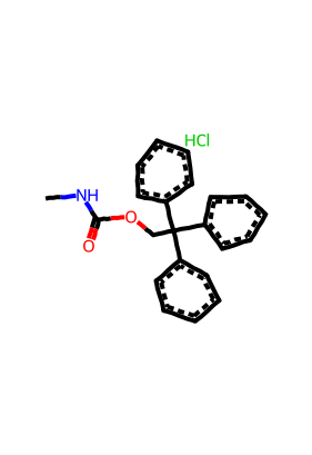 CNC(=O)OCC(c1ccccc1)(c1ccccc1)c1ccccc1.Cl